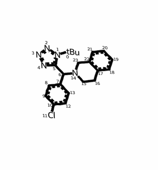 CC(C)(C)n1nnnc1C(c1ccc(Cl)cc1)N1CCc2ccccc2C1